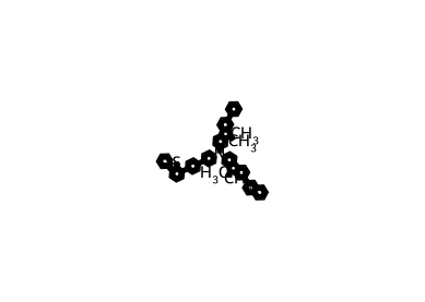 CC1(C)c2cc(-c3ccccc3)ccc2-c2ccc(N(c3ccc(-c4ccc(-c5cccc6c5sc5ccccc56)cc4)cc3)c3ccc4c(c3)C(C)(C)c3cc(-c5ccc6ccccc6c5)ccc3-4)cc21